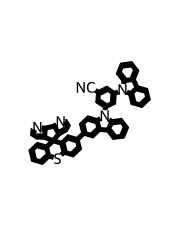 N#Cc1cc(-n2c3ccccc3c3ccccc32)cc(-n2c3ccccc3c3cc(-c4ccc5c(c4)C4(c6ccccc6S5)c5cccnc5-c5ncccc54)ccc32)c1